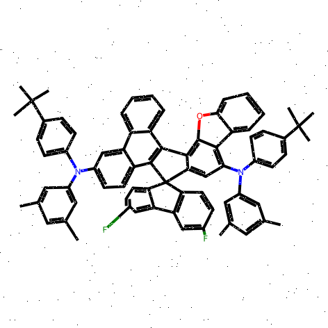 Cc1cc(C)cc(N(c2ccc(C(C)(C)C)cc2)c2ccc3c4c(c5ccccc5c3c2)-c2c(cc(N(c3ccc(C(C)(C)C)cc3)c3cc(C)cc(C)c3)c3c2oc2ccccc23)C42c3ccc(F)cc3-c3cc(F)ccc32)c1